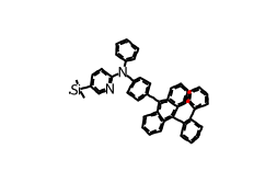 C[Si](C)(C)c1ccc(N(c2ccccc2)c2ccc(-c3c4ccccc4c(-c4ccccc4-c4ccccc4)c4ccccc34)cc2)nc1